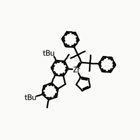 Cc1cc2c(cc1C(C)(C)C)-c1cc(C(C)(C)C)c(C)[c]([Zr]([C]3=CC=CC3)=[C](C(C)(C)c3ccccc3)C(C)(C)c3ccccc3)c1C2